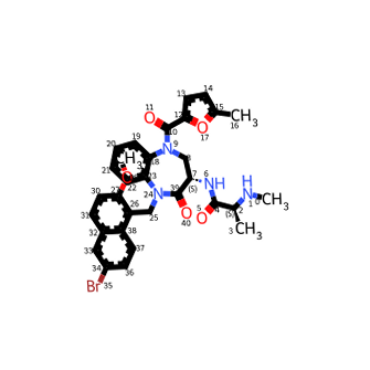 CN[C@@H](C)C(=O)N[C@H]1CN(C(=O)c2ccc(C)o2)c2ccccc2N(Cc2c(OC)ccc3cc(Br)ccc23)C1=O